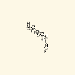 O=C(NCCCN1CCC(F)CC1)c1ccc2c(c1)sc1nc(-c3cccc([C@@H]4CCCN4)c3F)cn12